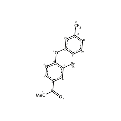 COC(=O)c1cnc(Oc2cccc(C(F)(F)F)c2)c(Br)c1